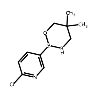 CC1(C)CBB(c2ccc(Cl)nc2)OC1